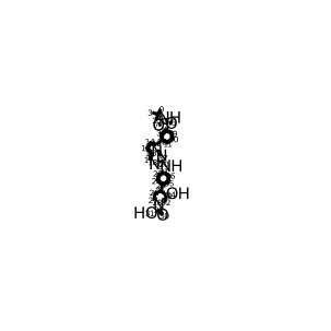 CC(C)(C)NS(=O)(=O)c1cccc(-c2ccc3cnc(Nc4ccc(C5CCN(C(=O)O)CC5O)cc4)nn23)c1